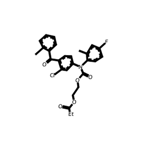 CCC(=O)OCCOC(=O)N(c1ccc(C(=O)c2ccccc2C)c(Cl)c1)c1ccc(F)cc1C